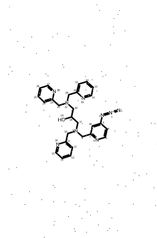 [N-]=[N+]=Nc1ccnc(CN(Cc2ccccn2)CC(O)CN(Cc2ccccn2)Cc2ccccn2)c1